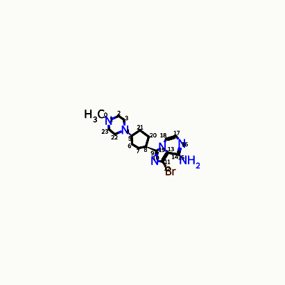 CN1CCN([C@H]2CC[C@H](c3nc(Br)c4c(N)nccn43)CC2)CC1